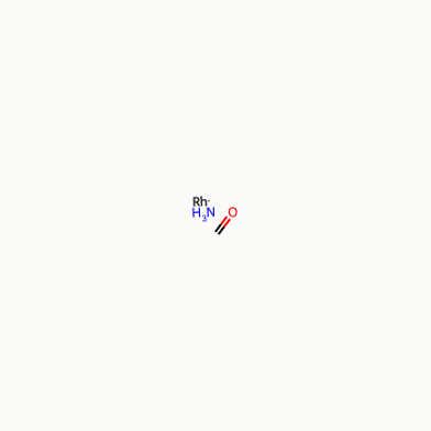 C=O.N.[Rh]